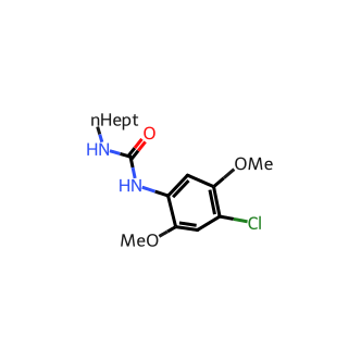 CCCCCCCNC(=O)Nc1cc(OC)c(Cl)cc1OC